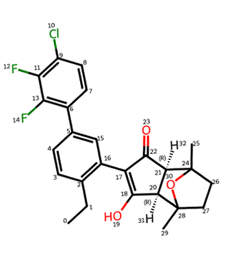 CCc1ccc(-c2ccc(Cl)c(F)c2F)cc1C1=C(O)[C@H]2[C@@H](C1=O)C1(C)CCC2(C)O1